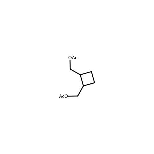 CC(=O)OCC1CCC1COC(C)=O